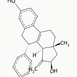 C=C1[C@H]2C3=C(CC[C@]2(C)C[C@H]1O)c1ccc(O)cc1C[C@H]3c1ccccc1